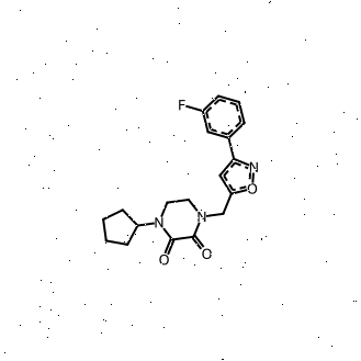 O=C1C(=O)N(C2CCCC2)CCN1Cc1cc(-c2cccc(F)c2)no1